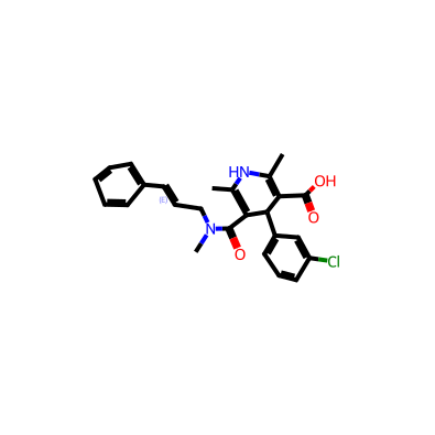 CC1=C(C(=O)O)C(c2cccc(Cl)c2)C(C(=O)N(C)C/C=C/c2ccccc2)=C(C)N1